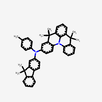 Cc1ccc(N(c2ccc3c(c2)C(C)(C)c2ccccc2-3)c2ccc3c(c2)C(C)(C)c2cccc4c2N3c2ccccc2C4(C)C)cc1